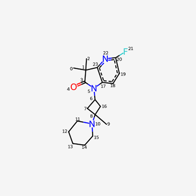 CC1(C)C(=O)N(C2CC(C)(N3CCCCC3)C2)c2ccc(F)nc21